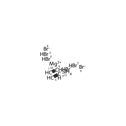 Br.Br.Br.Br.C#C.C#C.[Br-].[Br-].[Mg+2].[SiH4]